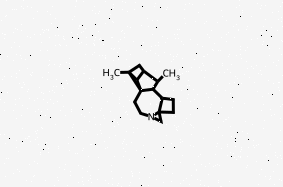 CC1C2CC3(C)C2C32CCN3CC34CCC4C12